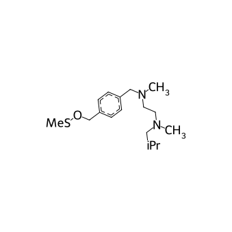 CSOCc1ccc(CN(C)CCN(C)CC(C)C)cc1